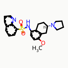 COc1ccc(NS(=O)(=O)c2cccc3cccnc23)c2c1C[C@@H](N1CCCC1)CC2